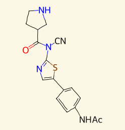 CC(=O)Nc1ccc(-c2cnc(N(C#N)C(=O)C3CCNC3)s2)cc1